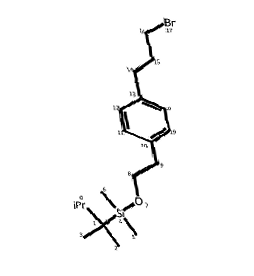 CC(C)C(C)(C)[Si](C)(C)OCCc1ccc(CCCBr)cc1